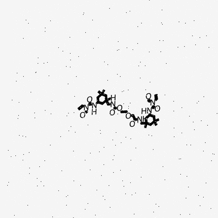 C=CN(C=O)C(=O)NC1CC(C)(C)CC(C)(CNC(=O)COCCOC(=O)NCC2(C)CC(NC(=O)N(C=C)C=O)CC(C)(C)C2)C1